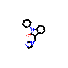 O=C1C(=Cn2ccnc2)c2ccccc2N1c1ccccc1